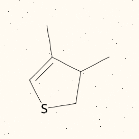 CC1=CSCC1C